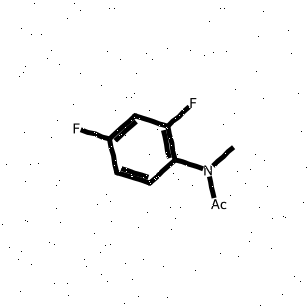 CC(=O)N(C)c1ccc(F)cc1F